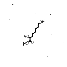 O=C(O)C(O)CCCCCCO